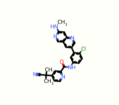 CNc1cc2ncc(-c3cc(NC(=O)c4cc(C(C)(C)C#N)ccn4)ccc3Cl)cc2cn1